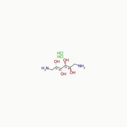 Cl.Cl.NC[C@@H](O)[C@H](O)[C@H](O)[C@@H](O)CN